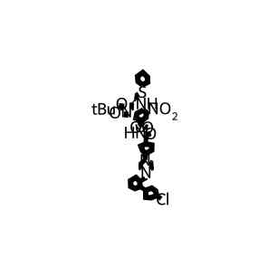 CN(CC[C@H](CSc1ccccc1)Nc1ccc(S(=O)(=O)NC(=O)c2ccc(N3CCN(Cc4ccccc4-c4ccc(Cl)cc4)CC3)cc2)cc1[N+](=O)[O-])C(=O)OC(C)(C)C